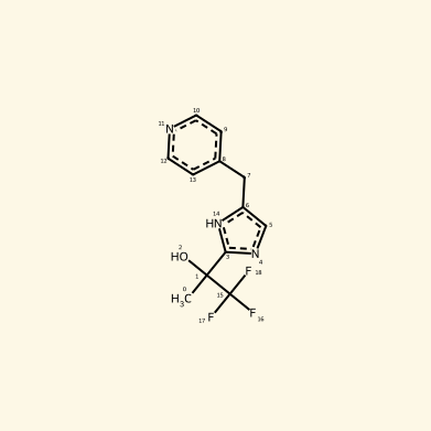 CC(O)(c1ncc(Cc2ccncc2)[nH]1)C(F)(F)F